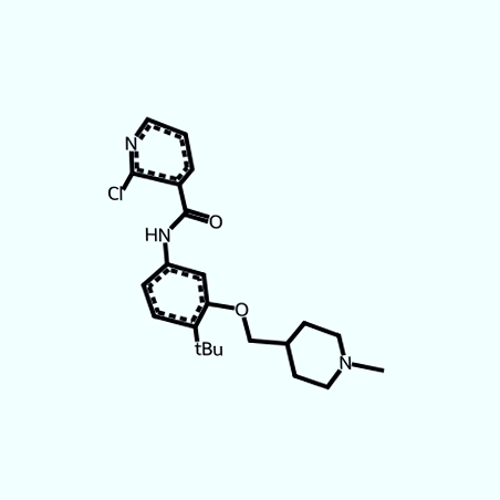 CN1CCC(COc2cc(NC(=O)c3cccnc3Cl)ccc2C(C)(C)C)CC1